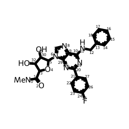 CNC(=O)C1OC(n2cnc3c(NCc4ccccc4)nc(-c4ccc(F)cc4)nc32)C(O)C1O